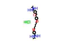 CC(C)NC(=N)c1ccc(OCCCCCCOc2ccc(-c3cc4ccc(C(=N)NC(C)C)cc4o3)cc2)cc1.Cl.Cl